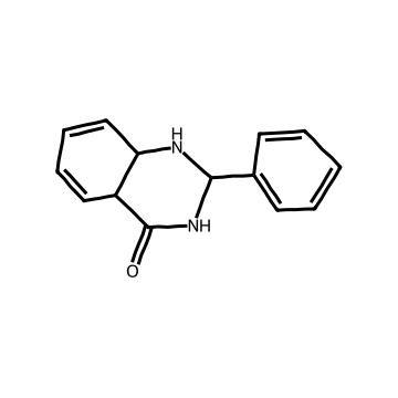 O=C1NC(c2ccccc2)NC2C=CC=CC12